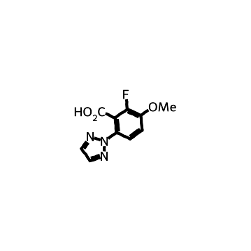 COc1ccc(-n2nccn2)c(C(=O)O)c1F